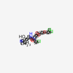 Cc1nccc(-c2ccc(C[C@H](NC(=O)[C@@H]3Cc4cc5c(cc4CN3C(=O)c3cccc(Cl)c3)O[C@@H](c3ccc(OCc4ccc(Cl)c(Cl)c4)cc3)CO5)C(=O)O)cc2)c1C